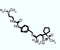 CN/C(=C\C(N)=N/Cc1ccc(NC(=O)NCCN(C)C)cc1)C1(S(C)(=O)=O)CCCC1